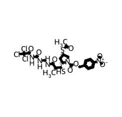 CC(=O)S[C@@H]1C[C@@H](C(S)C(C)C(=O)NCNC(=O)NC(=O)C(Cl)(Cl)Cl)N(C(=O)OCc2ccc([N+](=O)[O-])cc2)C1